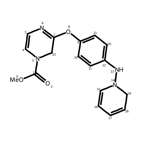 COC(=O)N1C=CN=C(Oc2ccc(NN3C=CC=CC3)cc2)C1